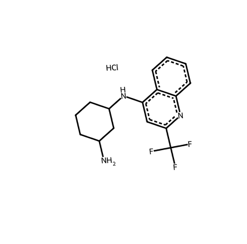 Cl.NC1CCCC(Nc2cc(C(F)(F)F)nc3ccccc23)C1